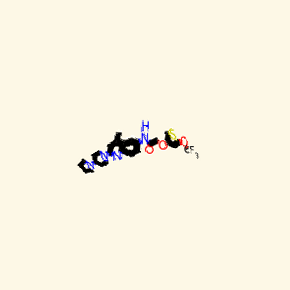 Cc1cc(N2CCC(N3CCCC3)CC2)nc2ccc(NC(=O)COc3csc(OC(F)(F)F)c3)cc12